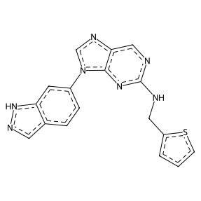 c1csc(CNc2ncc3ncn(-c4ccc5cn[nH]c5c4)c3n2)c1